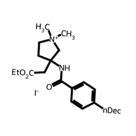 CCCCCCCCCCc1ccc(C(=O)NC2(CC(=O)OCC)CC[N+](C)(C)C2)cc1.[I-]